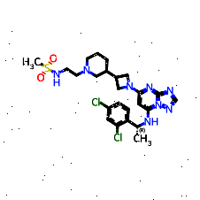 C[C@@H](Nc1cc(N2CC(C3CCCN(CCNS(C)(=O)=O)C3)C2)nc2ncnn12)c1ccc(Cl)cc1Cl